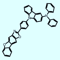 c1ccc(N(c2ccccc2)c2ccc3c(c2)c2ccccc2n3-c2ccc(-c3nc4cc5oc6ccccc6c5cc4o3)cc2)cc1